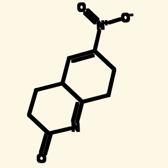 O=C1CCC2C=C([N+](=O)[O-])CCC2=N1